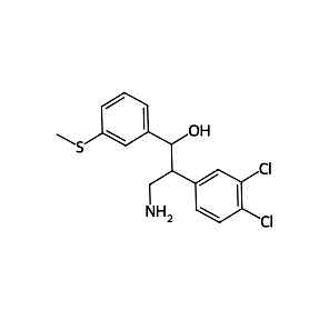 CSc1cccc(C(O)C(CN)c2ccc(Cl)c(Cl)c2)c1